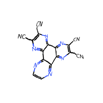 N#Cc1nc2c3nccnc3c3nc(C#N)c(C#N)nc3c2nc1C#N